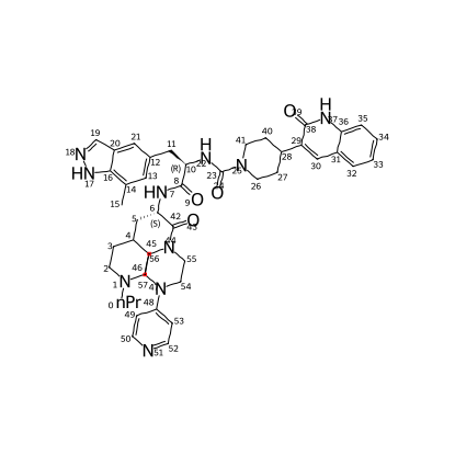 CCCN1CCC(C[C@H](NC(=O)[C@@H](Cc2cc(C)c3[nH]ncc3c2)NC(=O)N2CCC(c3cc4ccccc4[nH]c3=O)CC2)C(=O)N2CCN(c3ccncc3)CC2)CC1